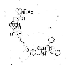 CC(=O)NC(CC(=O)O)C(=O)NCC(=O)NC(CC(=O)O)C(=O)NCCCCCCOc1ccc(Cc2nc3c(Cc4ccccc4)[nH]c(-c4ccccc4)cn-3c2=O)cc1F